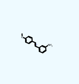 COc1ccc(/C=C/c2cccc(N)c2)cc1